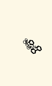 O=S1(=O)OS(=O)(=O)c2c(-n3c4ccccc4c4ccccc43)cccc21